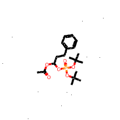 CC(=O)OC(CCc1ccccc1)OP(=O)(OC(C)(C)C)OC(C)(C)C